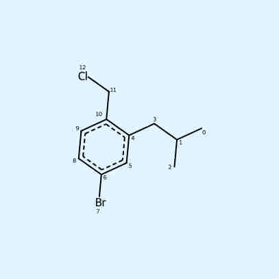 CC(C)Cc1cc(Br)ccc1CCl